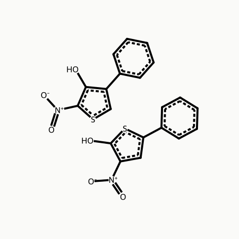 O=[N+]([O-])c1cc(-c2ccccc2)sc1O.O=[N+]([O-])c1scc(-c2ccccc2)c1O